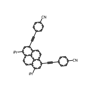 CC(C)c1cc(C#Cc2ccc(C#N)cc2)c2ccc3c(C#Cc4ccc(C#N)cc4)cc(C(C)C)c4ccc1c2c34